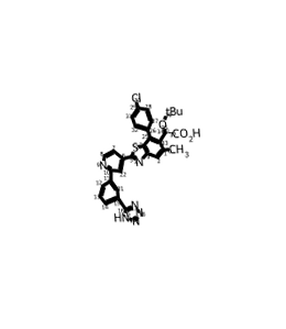 Cc1cc2nc(-c3ccnc(-c4cccc(-c5nnn[nH]5)c4)c3)sc2c(-c2ccc(Cl)cc2)c1[C@H](OC(C)(C)C)C(=O)O